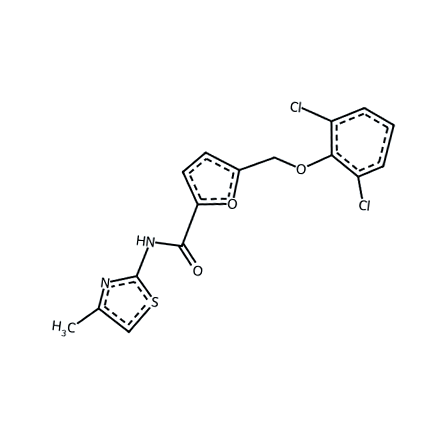 Cc1csc(NC(=O)c2ccc(COc3c(Cl)cccc3Cl)o2)n1